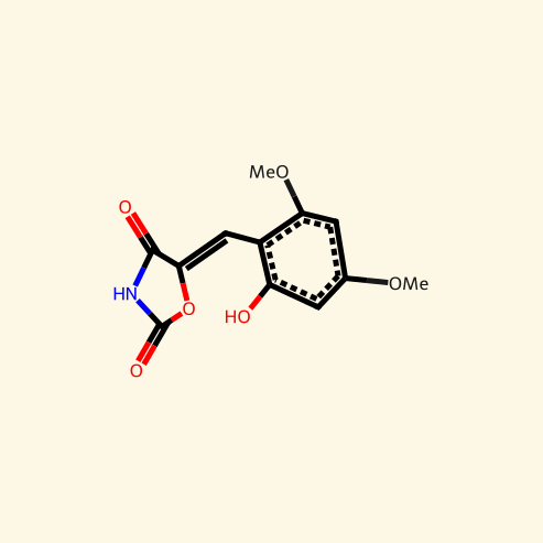 COc1cc(O)c(C=C2OC(=O)NC2=O)c(OC)c1